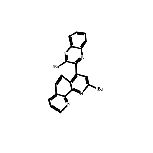 CC(C)(C)c1cc(-c2nc3ccccc3nc2C(C)(C)C)c2ccc3cccnc3c2n1